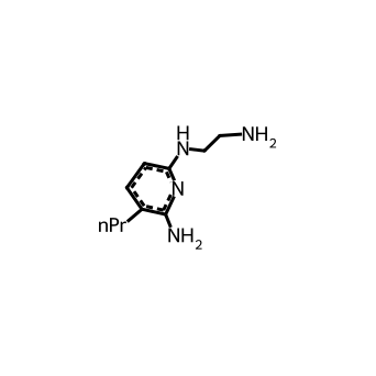 CCCc1ccc(NCCN)nc1N